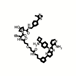 Cc1ncsc1-c1ccc(CNC(=O)[C@@H]2C[C@@H](O)CN2C(=O)C(NC(=O)CCOCCC(=O)NCCc2cccc(-c3ccc4nc(-c5cccnc5N)n(-c5ccc(C6(N)CCC6)cc5)c4n3)c2)C(C)(C)C)cc1